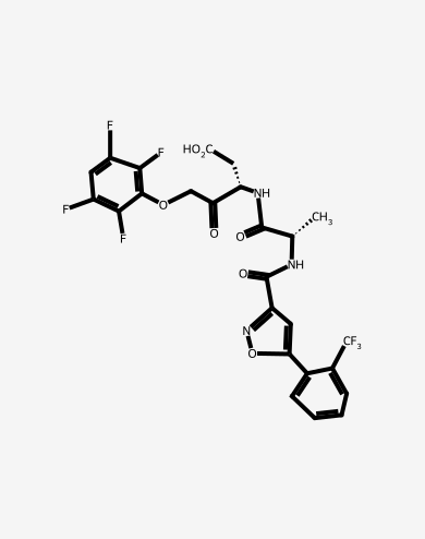 C[C@H](NC(=O)c1cc(-c2ccccc2C(F)(F)F)on1)C(=O)N[C@@H](CC(=O)O)C(=O)COc1c(F)c(F)cc(F)c1F